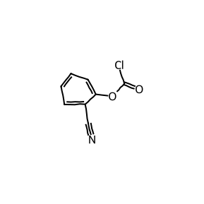 N#Cc1ccccc1OC(=O)Cl